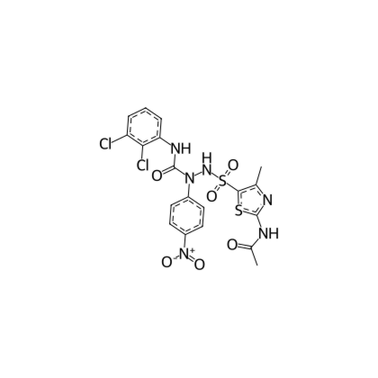 CC(=O)Nc1nc(C)c(S(=O)(=O)NN(C(=O)Nc2cccc(Cl)c2Cl)c2ccc([N+](=O)[O-])cc2)s1